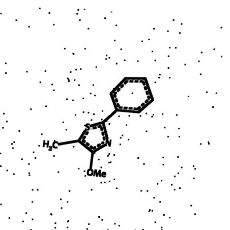 COc1nc(-c2ccccc2)sc1C